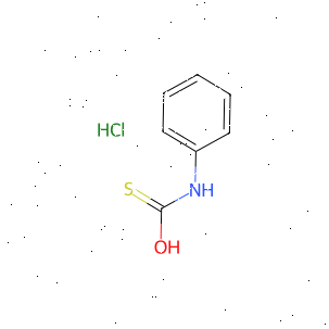 Cl.OC(=S)Nc1ccccc1